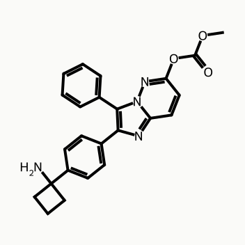 COC(=O)Oc1ccc2nc(-c3ccc(C4(N)CCC4)cc3)c(-c3ccccc3)n2n1